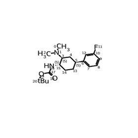 CN(C)[C@H]1C[C@@H](c2cccc(F)c2)CC[C@@H]1NC(=O)OC(C)(C)C